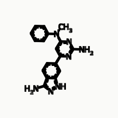 CN(c1ccccc1)c1cc(-c2ccc3c(N)n[nH]c3c2)nc(N)n1